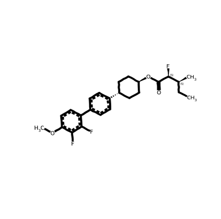 CC[C@H](C)[C@H](F)C(=O)O[C@H]1CC[C@H](c2ccc(-c3ccc(OC)c(F)c3F)cc2)CC1